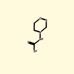 S=C(S)NN1CCOSC1